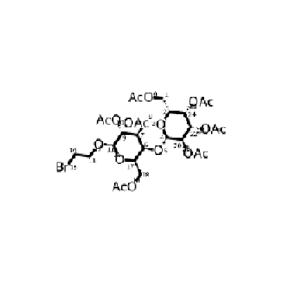 CC(=O)OC[C@H]1O[C@@H](O[C@@H]2[C@H](OC(C)=O)[C@@H](OC(C)=O)[C@H](OCCBr)O[C@@H]2COC(C)=O)[C@H](OC(C)=O)[C@@H](OC(C)=O)[C@H]1OC(C)=O